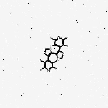 Fc1nc(F)c(F)c(-c2ncoc2-c2ocnc2-c2c(F)c(F)nc(F)c2F)c1F